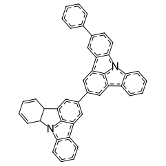 C1=CC2c3cc(-c4cc5c6ccccc6n6c7ccc(-c8ccccc8)cc7c(c4)c56)cc4c5ccccc5n(c34)C2C=C1